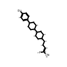 CCc1ccc(C2CCC(C3CCC(CCC=C(F)C#N)CC3)CC2)cc1